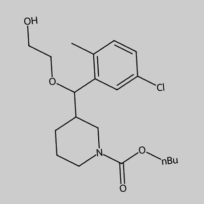 CCCCOC(=O)N1CCCC(C(OCCO)c2cc(Cl)ccc2C)C1